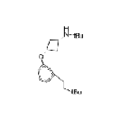 CC(C)(C)CCc1cccc(O[C@H]2C[C@@H](NC(C)(C)C)C2)c1